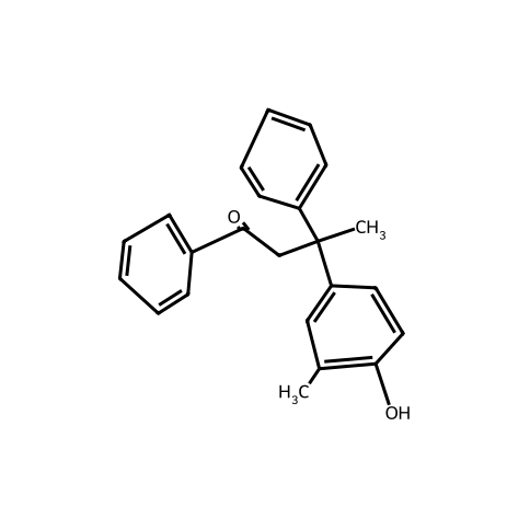 Cc1cc(C(C)(CC(=O)c2ccccc2)c2ccccc2)ccc1O